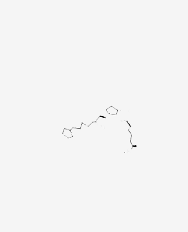 O=C(O)CCC/C=C\C[C@H]1[C@@H](O)CC[C@@H]1/C=C/C(O)CCCCCC1CCCC1